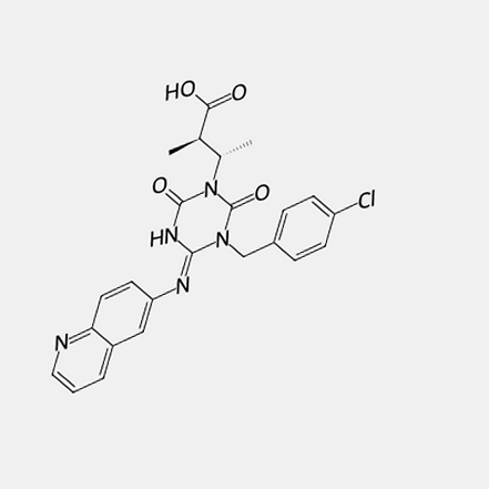 C[C@@H](C(=O)O)[C@H](C)n1c(=O)[nH]/c(=N\c2ccc3ncccc3c2)n(Cc2ccc(Cl)cc2)c1=O